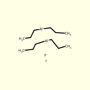 CC[CH2][Al+][CH2]CC.CC[CH2][Al+][CH2]CC.[F-].[I-]